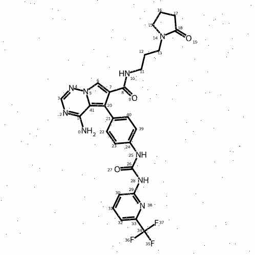 Nc1ncnn2cc(C(=O)NCCCN3CCCC3=O)c(-c3ccc(NC(=O)Nc4cccc(C(F)(F)F)n4)cc3)c12